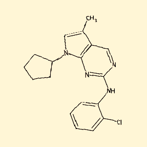 Cc1cn(C2CCCC2)c2nc(Nc3ccccc3Cl)ncc12